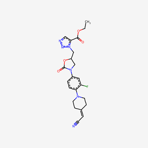 CCOC(=O)c1cnnn1CC1CN(c2ccc(N3CCC(=CC#N)CC3)c(F)c2)C(=O)O1